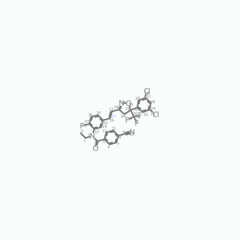 CCN(C(=O)c1ccc(C#N)cc1)c1cc(/C=C/C2=NOC(c3cc(Cl)cc(Cl)c3)(C(F)(F)F)C2)ccc1F